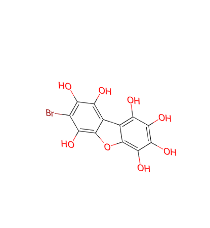 Oc1c(O)c(O)c2c(oc3c(O)c(Br)c(O)c(O)c32)c1O